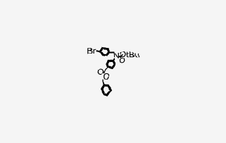 CC(C)(C)OC(=O)N(Cc1ccc(Br)cc1)c1ccc(C(=O)OCc2ccccc2)cc1